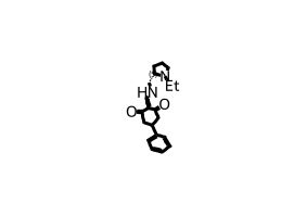 CCN1CCC[C@H]1CNC=C1C(=O)CC(c2ccccc2)CC1=O